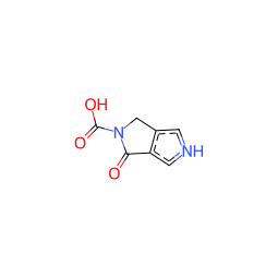 O=C(O)N1Cc2c[nH]cc2C1=O